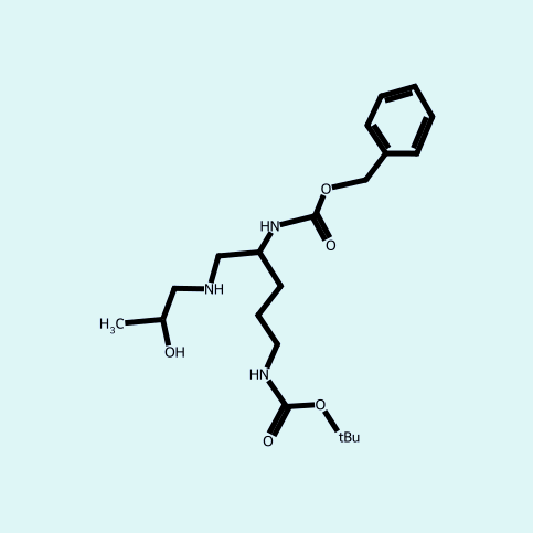 CC(O)CNCC(CCCNC(=O)OC(C)(C)C)NC(=O)OCc1ccccc1